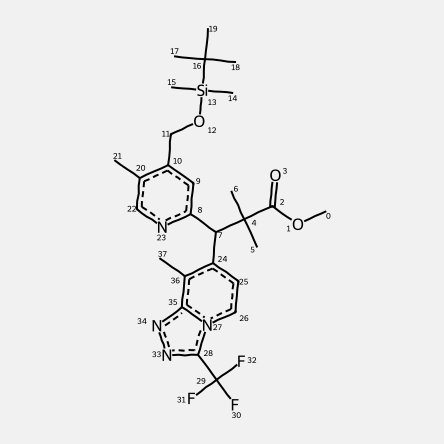 COC(=O)C(C)(C)C(c1cc(CO[Si](C)(C)C(C)(C)C)c(C)cn1)c1ccn2c(C(F)(F)F)nnc2c1C